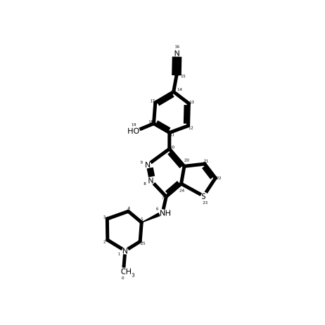 CN1CCC[C@@H](Nc2nnc(-c3ccc(C#N)cc3O)c3ccsc23)C1